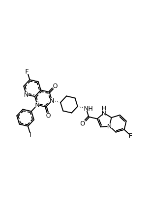 O=C(N[C@H]1CC[C@@H](n2c(=O)c3cc(F)cnc3n(-c3cccc(I)c3)c2=O)CC1)C1=CN2C=C(F)C=CC2N1